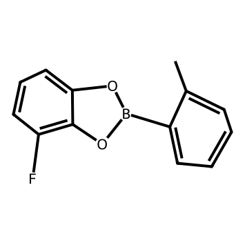 Cc1ccccc1B1Oc2cccc(F)c2O1